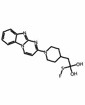 OC(O)(CC1CCN(c2ccn3c(n2)nc2ccccc23)CC1)SF